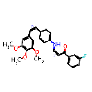 COc1cc(/C=C\C2C=CC(N/C=C\C(=O)c3cccc(F)c3)=CC2)cc(OC)c1OC